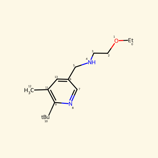 CCOCCNCc1cnc(C(C)(C)C)c(C)c1